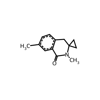 Cc1ccc2c(c1)C(=O)N(C)C1(CC1)C2